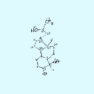 CCCC1(C)C(CC)CCC2C1CCC1(C)C2CC[C@@H]1CC(O)C(F)(F)F